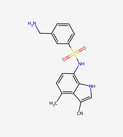 Cc1ccc(NS(=O)(=O)c2cccc(CN)c2)c2[nH]cc(C#N)c12